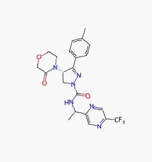 Cc1ccc(C2=NN(C(=O)NC(C)c3cnc(C(F)(F)F)cn3)C[C@@H]2N2CCOCC2=O)cc1